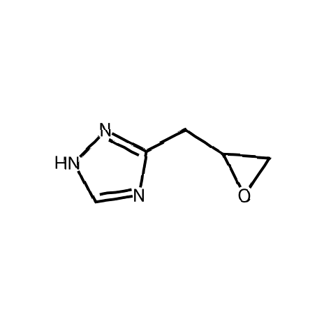 c1nc(CC2CO2)n[nH]1